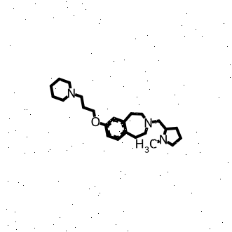 CN1CCCC1CN1CCc2ccc(OCCCN3CCCCC3)cc2CC1